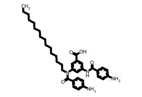 CCCCCCCCCCCCCCCCN(C(=O)c1ccc(N)cc1)c1cc(NC(=O)c2ccc(N)cc2)cc(C(=O)O)c1